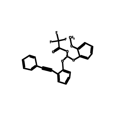 COc1ccccc1OB(OC(=O)C(F)(F)F)Oc1ccccc1C#Cc1ccccc1